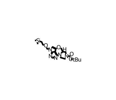 CC(C)(C)OC(=O)N1CCN2c3ncnc4c3c(cn4COCC[Si](C)(C)C)OC[C@@H]2C1